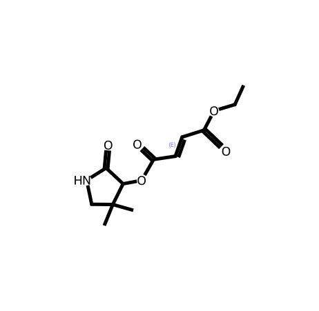 CCOC(=O)/C=C/C(=O)OC1C(=O)NCC1(C)C